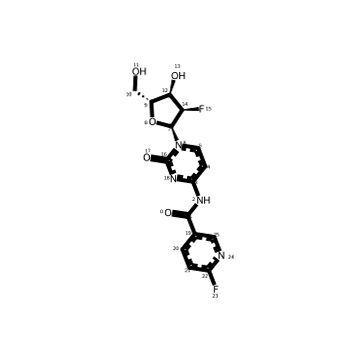 O=C(Nc1ccn([C@H]2O[C@H](CO)[C@@H](O)[C@H]2F)c(=O)n1)c1ccc(F)nc1